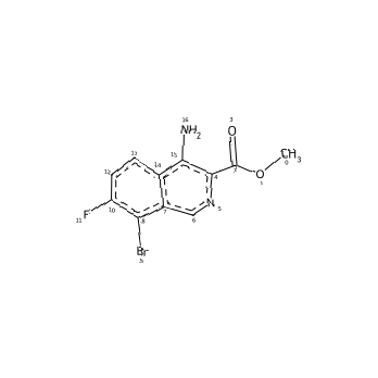 COC(=O)c1ncc2c(Br)c(F)ccc2c1N